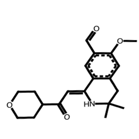 COc1cc2c(cc1C=O)/C(=C/C(=O)C1CCOCC1)NC(C)(C)C2